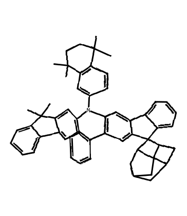 CC1(C)CCC(C)(C)c2cc(N(c3ccc4c(c3)C(C)(C)c3ccccc3-4)c3cc4c(cc3-c3ccccc3)C3(c5ccccc5-4)C4CC5CC6CC3C64C5)ccc21